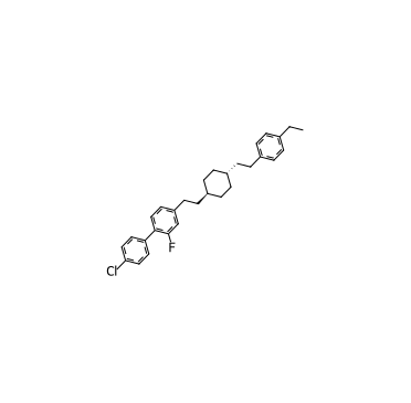 CCc1ccc(CC[C@H]2CC[C@H](CCc3ccc(-c4ccc(Cl)cc4)c(F)c3)CC2)cc1